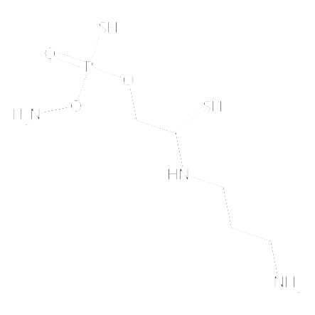 NCCCNC(S)COP(=O)(S)ON